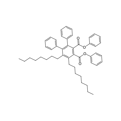 CCCCCCCCc1c(CCCCCCCC)c(-c2ccccc2)c(-c2ccccc2)c(C(=O)Oc2ccccc2)c1C(=O)Oc1ccccc1